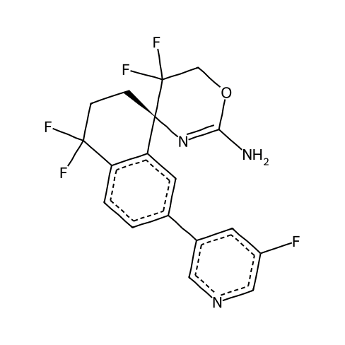 NC1=N[C@@]2(CCC(F)(F)c3ccc(-c4cncc(F)c4)cc32)C(F)(F)CO1